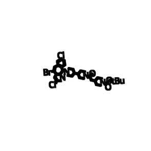 CC(C)(C)OC(=O)N1CCC(CC(=O)N2CCC(C3CCN(C4c5ccc(Cl)cc5C=C(Br)c5cc(Cl)cnc54)CC3)CC2)CC1